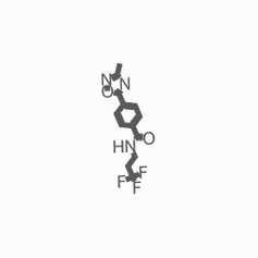 Cc1noc(-c2ccc(C(=O)NCCC(F)(F)F)cc2)n1